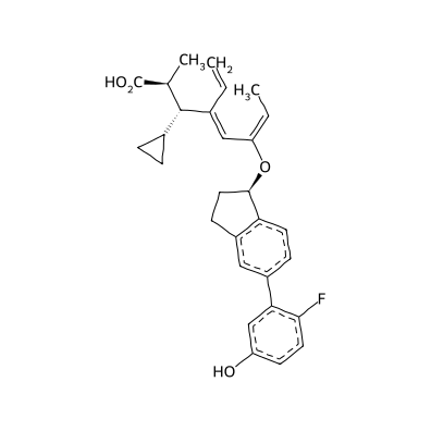 C=C/C(=C\C(=C/C)O[C@@H]1CCc2cc(-c3cc(O)ccc3F)ccc21)[C@H](C1CC1)[C@H](C)C(=O)O